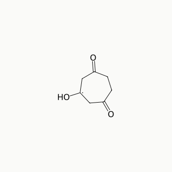 O=C1CCC(=O)C[C](O)C1